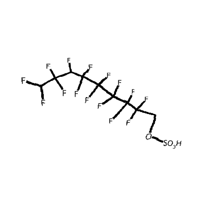 O=S(=O)(O)OCC(F)(F)C(F)(F)C(F)(F)C(F)(F)C(F)(F)C(F)C(F)(F)C(F)F